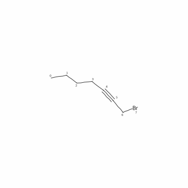 CCCCC#CCBr